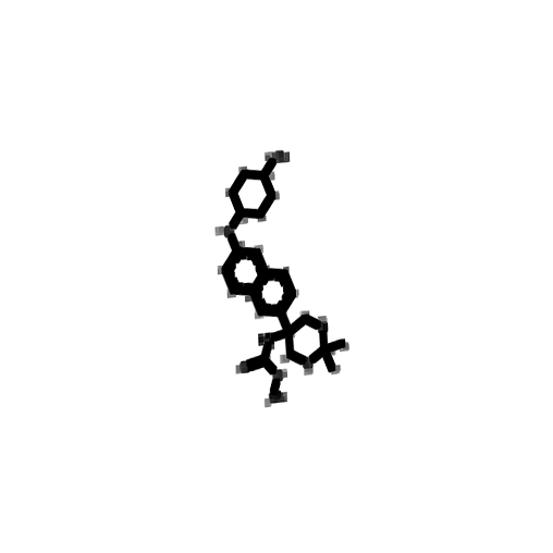 CC(C)(C)OC(=O)NC1(c2ccc3cc(OC4CCC(C(C)(C)C)CC4)ccc3c2)COC(C)(C)OC1